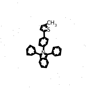 Cc1ccc(-c2ccc(-n3c(-c4ccccc4)c4ccccc4c3-c3ccccc3)cc2)s1